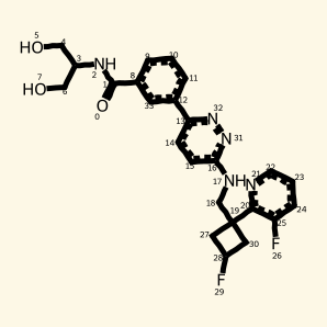 O=C(NC(CO)CO)c1cccc(-c2ccc(NCC3(c4ncccc4F)CC(F)C3)nn2)c1